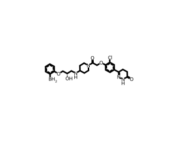 Bc1ccccc1OC[C@@H](O)CNC1CCN(C(=O)COc2ccc(C3=NNC(=O)CC3)cc2Cl)CC1